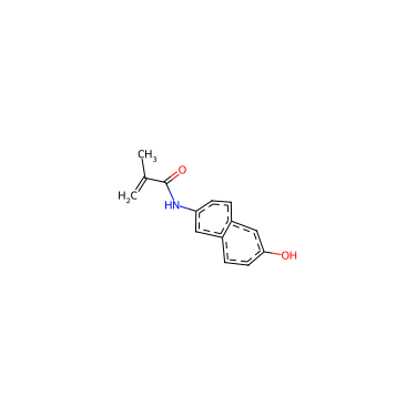 C=C(C)C(=O)Nc1ccc2cc(O)ccc2c1